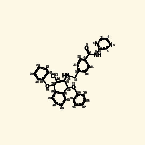 O=C(Nc1cnccn1)c1ccc(CNC2=C(Cl)C(Oc3ccccc3)c3ccccc3C2Oc2ccccc2)cc1